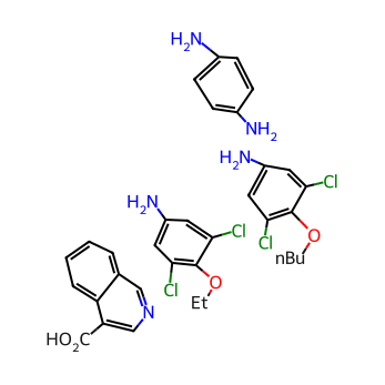 CCCCOc1c(Cl)cc(N)cc1Cl.CCOc1c(Cl)cc(N)cc1Cl.Nc1ccc(N)cc1.O=C(O)c1cncc2ccccc12